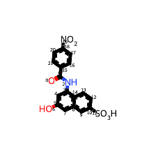 O=C(Nc1cc(O)cc2cc(S(=O)(=O)O)ccc12)c1ccc([N+](=O)[O-])cc1